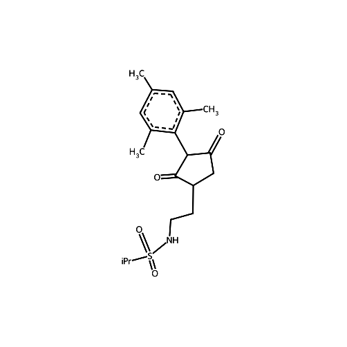 Cc1cc(C)c(C2C(=O)CC(CCNS(=O)(=O)C(C)C)C2=O)c(C)c1